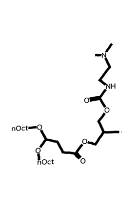 [CH2]C(COC(=O)CCC(OCCCCCCCC)OCCCCCCCC)COC(=O)NCCN(C)C